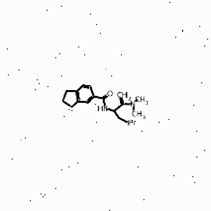 C=C(C(CC(C)C)NC(=O)c1ccc2c(c1)CCC2)N(C)C